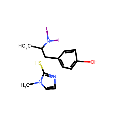 Cn1ccnc1S.O=C(O)C(Cc1ccc(O)cc1)N(I)I